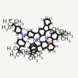 CC(C)(C)c1ccc(N2B3c4c(cc5c(c4N(c4ccc(C(C)(C)C)cc4-c4ccccc4)c4ccc6sc7ccccc7c6c43)C(C)(C)c3ccccc3-5)-c3ccc(N(c4ccc(C(C)(C)C)cc4)c4ccc(C(C)(C)C)cc4)cc32)cc1